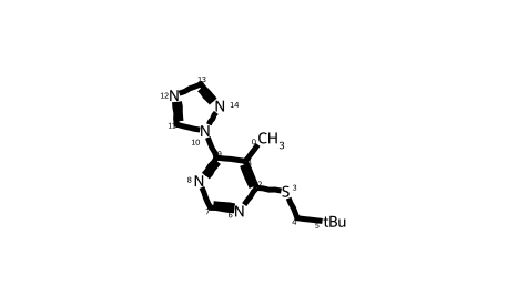 Cc1c(SCC(C)(C)C)ncnc1-n1cncn1